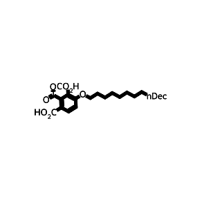 CCCCCCCCCCCCCCCCCCOc1ccc(C(=O)O)c(I(=O)=O)c1C(=O)O